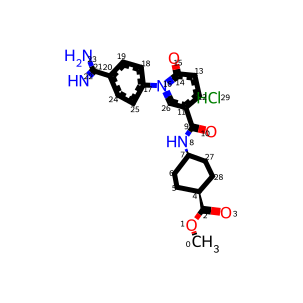 COC(=O)[C@H]1CC[C@H](NC(=O)c2ccc(=O)n(-c3ccc(C(=N)N)cc3)c2)CC1.Cl